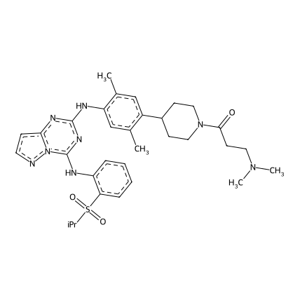 Cc1cc(C2CCN(C(=O)CCN(C)C)CC2)c(C)cc1Nc1nc(Nc2ccccc2S(=O)(=O)C(C)C)n2nccc2n1